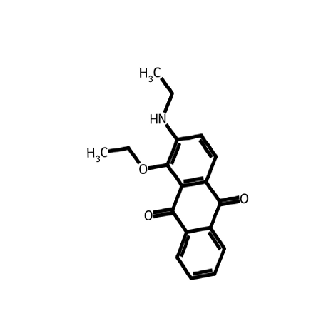 CCNc1ccc2c(c1OCC)C(=O)c1ccccc1C2=O